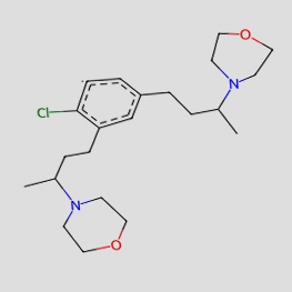 CC(CCc1c[c]c(Cl)c(CCC(C)N2CCOCC2)c1)N1CCOCC1